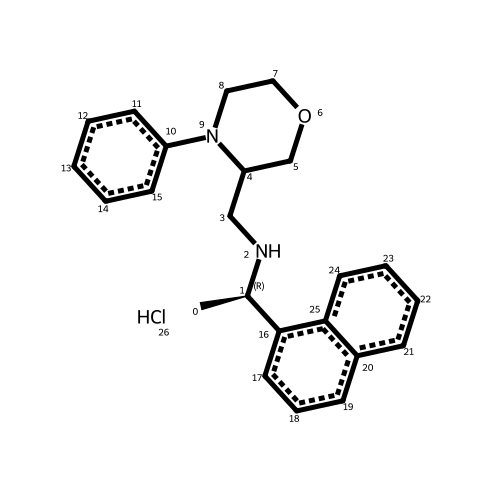 C[C@@H](NCC1COCCN1c1ccccc1)c1cccc2ccccc12.Cl